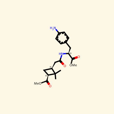 COC(=O)[C@H](Cc1ccc(N)cc1)NC(=O)C[C@@H]1C[C@H](C(=O)OC)C1(C)C